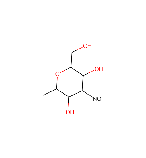 CC1OC(CO)C(O)C(N=O)C1O